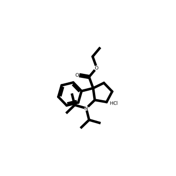 CCOC(=O)C1(c2ccccc2)CCCC1N(C(C)C)C(C)C.Cl